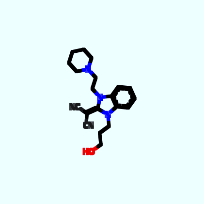 N#CC(C#N)=C1N(CCCO)c2ccccc2N1CCN1CCCCC1